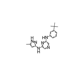 Cc1cc(Nc2cncc(Nc3cccc(C(C)(C)C)c3)n2)n[nH]1